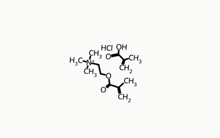 C=C(C)C(=O)O.C=C(C)C(=O)OCC[N+](C)(C)C.Cl